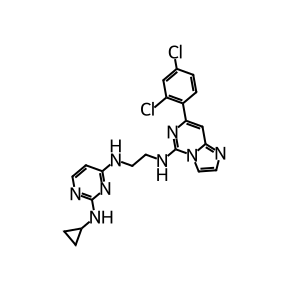 Clc1ccc(-c2cc3nccn3c(NCCNc3ccnc(NC4CC4)n3)n2)c(Cl)c1